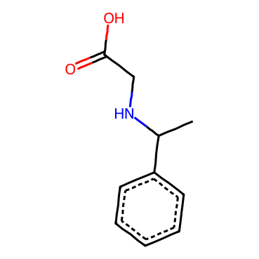 CC(NCC(=O)O)c1ccccc1